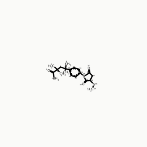 BC(=O)C(C)(C)CC(C)(C)c1ccc(N2C(=O)CC(SC)C2=O)cc1